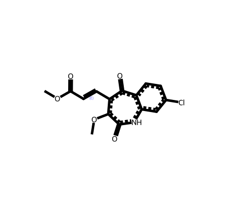 COC(=O)/C=C/c1c(OC)c(=O)[nH]c2cc(Cl)ccc2c1=O